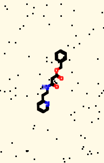 O=C(CC(=O)OCc1ccccc1)NCCc1ccccn1